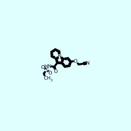 CCS(=O)(=O)NC(=O)c1c2ccc(OCC#N)cc2n2ccccc12